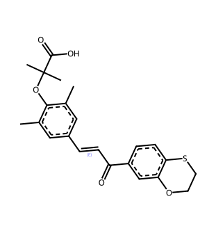 Cc1cc(/C=C/C(=O)c2ccc3c(c2)OCCS3)cc(C)c1OC(C)(C)C(=O)O